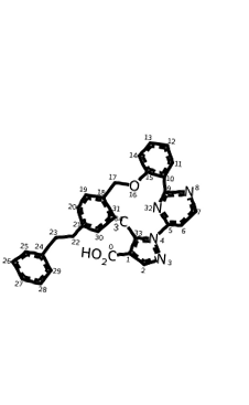 O=C(O)c1cnn(-c2ccnc(-c3ccccc3OCc3ccc(CCc4ccccc4)cc3)n2)c1C(F)(F)F